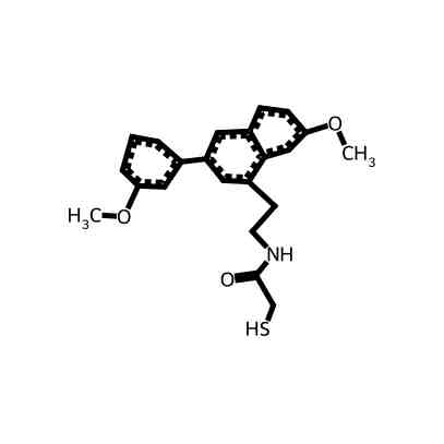 COc1cccc(-c2cc(CCNC(=O)CS)c3cc(OC)ccc3c2)c1